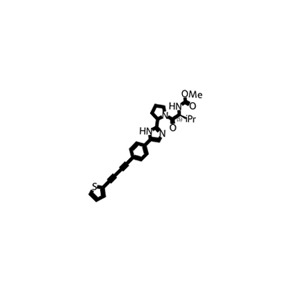 COC(=O)N[C@H](C(=O)N1CCCC1c1ncc(-c2ccc(C#CC#Cc3cccs3)cc2)[nH]1)C(C)C